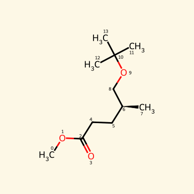 COC(=O)CC[C@H](C)COC(C)(C)C